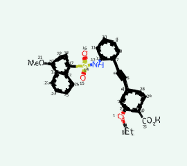 CCOc1cc(C#Cc2ccccc2NS(=O)(=O)c2ccc(OC)c3ccccc23)ccc1C(=O)O